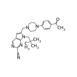 CC(=O)c1ccc(N2CCN(Cc3cc4cnc(C#N)nc4n3CC(C)(C)C)CC2)cc1